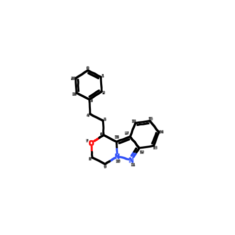 c1ccc(CCC2OCCn3nc4ccccc4c32)cc1